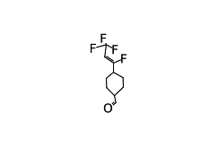 O=CC1CCC(/C(F)=C/C(F)(F)F)CC1